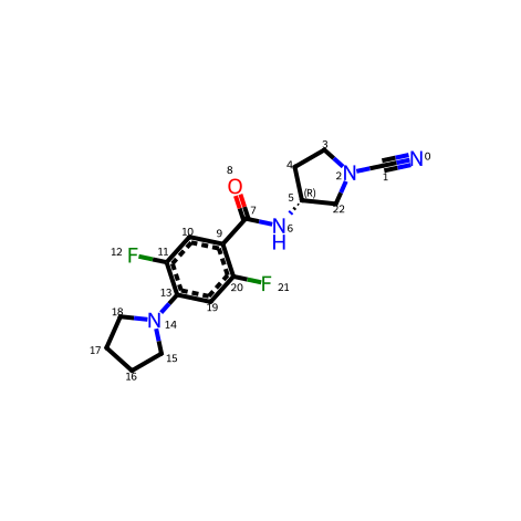 N#CN1CC[C@@H](NC(=O)c2cc(F)c(N3CCCC3)cc2F)C1